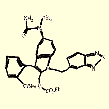 CCCCN(C(N)=O)c1ccc2c(c1)c(-c1ccccc1OC)c(OC(=O)OCC)n2Cc1ccc2nsnc2c1